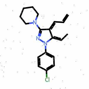 C=C/C=c1/c(N2CCCCC2)nn(-c2ccc(Cl)cc2)/c1=C/C